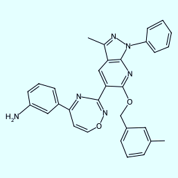 Cc1cccc(COc2nc3c(cc2C2=NOC=CC(c4cccc(N)c4)=N2)c(C)nn3-c2ccccc2)c1